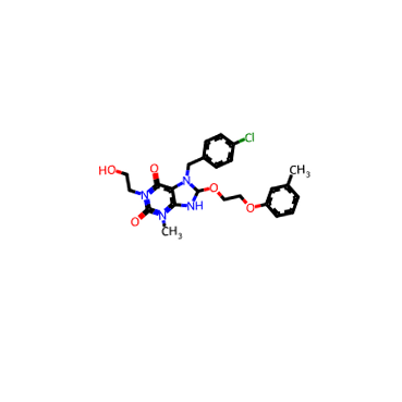 Cc1cccc(OCCOC2Nc3c(c(=O)n(CCO)c(=O)n3C)N2Cc2ccc(Cl)cc2)c1